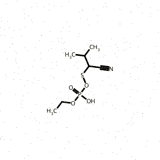 CCOP(=O)(O)OSC(C#N)C(C)C